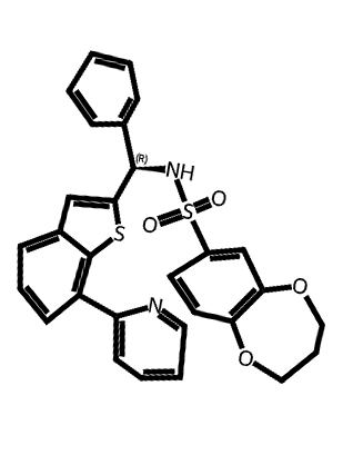 O=S(=O)(N[C@H](c1ccccc1)c1cc2cccc(-c3ccccn3)c2s1)c1ccc2c(c1)OCCCO2